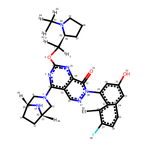 [2H]C([2H])(Oc1nc(N2C[C@H]3CC[C@@H](C2)N3)c2cnn(-c3cc(O)cc4ccc(F)c(CC)c34)c(=O)c2n1)[C@@H]1CCCN1C([2H])([2H])[2H]